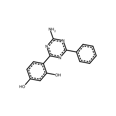 Nc1nc(-c2ccccc2)nc(-c2ccc(O)cc2O)n1